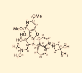 COc1cc2c(c(OC)n1)[C@]1(O)[C@H](O)[C@H](CN(C)C)[C@@H](c3ccccc3)[C@]1(c1ccc(N3CC(C)(O)C3)cc1)O2